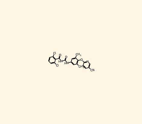 Cc1cc(NC(=O)NC(=O)c2c(Cl)cccc2Cl)cc(C)c1Oc1ccc(C#N)cn1